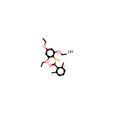 CCOc1cc(OCC)c(PC(=O)c2c(C)cccc2C)c(OCC)c1.[LiH]